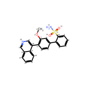 COc1cc(-c2ccccc2S(N)(=O)=O)ccc1-c1cncc2ccccc12